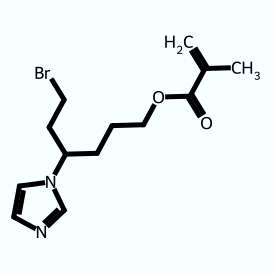 C=C(C)C(=O)OCCCC(CCBr)n1ccnc1